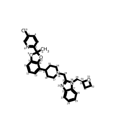 CC1(c2ccc(Cl)cn2)Oc2cccc(C3CCN(Cc4nc5ccccc5n4C[C@@H]4CCO4)CC3)c2O1